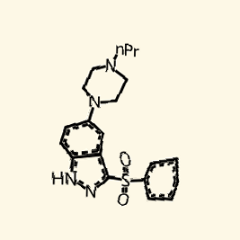 CCCN1CCN(c2ccc3[nH]nc(S(=O)(=O)c4ccccc4)c3c2)CC1